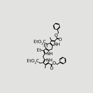 CCOC(=O)Cc1c(Cc2[nH]c(Cc3[nH]c(C(=O)OCc4ccccc4)c(C)c3CC(=O)OCC)c(CC)c2CC)[nH]c(C(=O)OCc2ccccc2)c1C